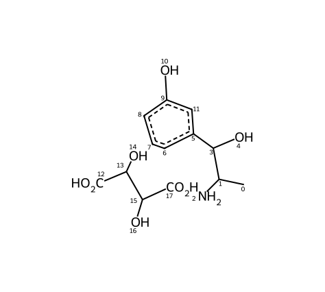 CC(N)C(O)c1cccc(O)c1.O=C(O)C(O)C(O)C(=O)O